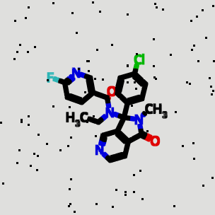 CCN(C(=O)c1ccc(F)nc1)C1(c2ccc(Cl)cc2)c2cnccc2C(=O)N1C